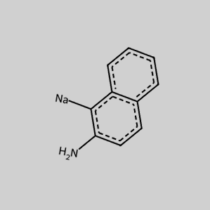 Nc1ccc2ccccc2[c]1[Na]